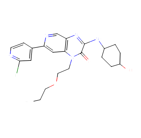 CCCOCCn1c(=O)c(NC2CCC(O)CC2)nc2cnc(-c3ccnc(F)c3)cc21